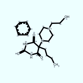 CCCCC1(N2CCN(CCO)CC2)C(=O)NC(=O)NC1=O.c1ccccc1